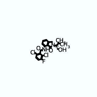 CC(C)[C@H](CO)N1Cc2cccc(NC(=O)c3c(Cl)ccc(F)c3Cl)c2C1=O